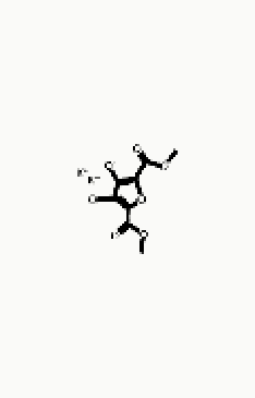 COC(=O)c1oc(C(=O)OC)c([O-])c1[O-].[K+].[K+]